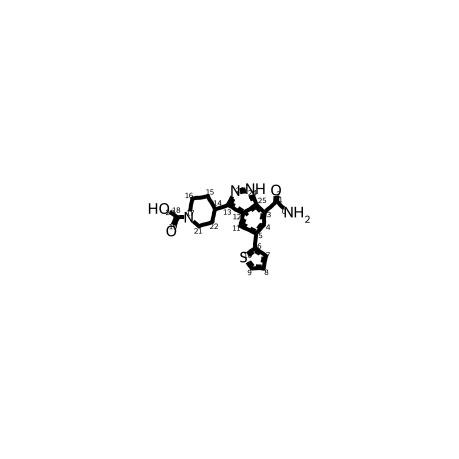 NC(=O)c1cc(-c2cccs2)cc2c(C3CCN(C(=O)O)CC3)n[nH]c12